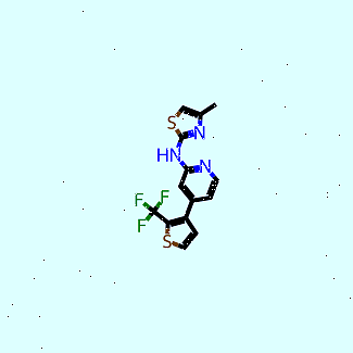 Cc1csc(Nc2cc(-c3ccsc3C(F)(F)F)ccn2)n1